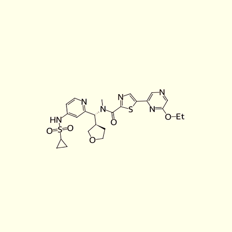 CCOc1cncc(-c2cnc(C(=O)N(C)[C@@H](c3cc(NS(=O)(=O)C4CC4)ccn3)[C@H]3CCOC3)s2)n1